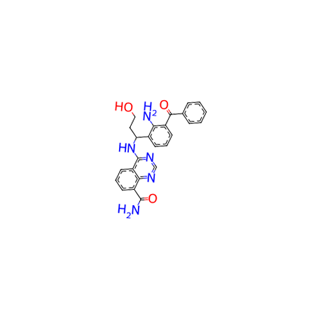 NC(=O)c1cccc2c(NC(CCO)c3cccc(C(=O)c4ccccc4)c3N)ncnc12